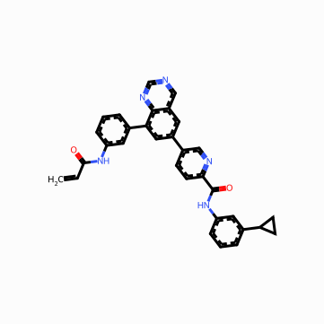 C=CC(=O)Nc1cccc(-c2cc(-c3ccc(C(=O)Nc4cccc(C5CC5)c4)nc3)cc3cncnc23)c1